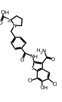 NC(=O)c1c(NC(=O)c2ccc(CN3CCC[C@@H]3C(=O)O)cc2)sc2c(Cl)c(O)c(Cl)cc12